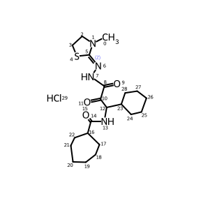 CN1CCS/C1=N\NC(=O)C(=O)C(NC(=O)C1CCCCCC1)C1CCCCC1.Cl